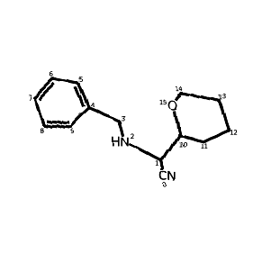 N#CC(NCc1ccccc1)C1CCCCO1